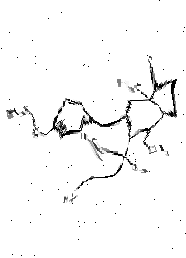 CCCC(C)(C)C1C(c2ccc(OC)cc2)CC2(C)C(=O)CCC2C1C